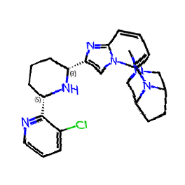 CN1CC2CCC(C1)N2c1cccc2nc([C@H]3CCC[C@@H](c4ncccc4Cl)N3)cn12